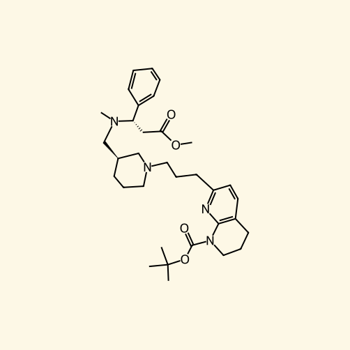 COC(=O)C[C@@H](c1ccccc1)N(C)C[C@@H]1CCCN(CCCc2ccc3c(n2)N(C(=O)OC(C)(C)C)CCC3)C1